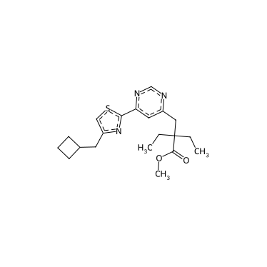 CCC(CC)(Cc1cc(-c2nc(CC3CCC3)cs2)ncn1)C(=O)OC